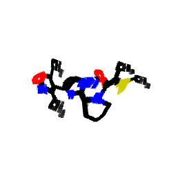 CSC(C)C(=O)N1CCCCC1c1nc(-c2c(C)noc2C)c[nH]1